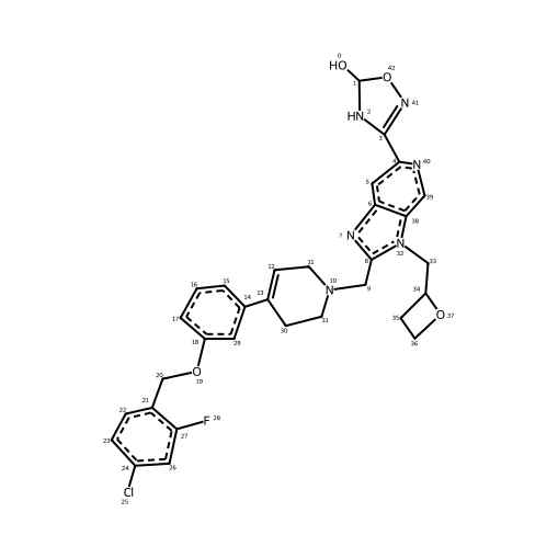 OC1NC(c2cc3nc(CN4CC=C(c5cccc(OCc6ccc(Cl)cc6F)c5)CC4)n(CC4CCO4)c3cn2)=NO1